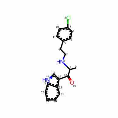 CC(NCCc1ccc(Cl)cc1)C(=O)c1c[nH]c2ccccc12